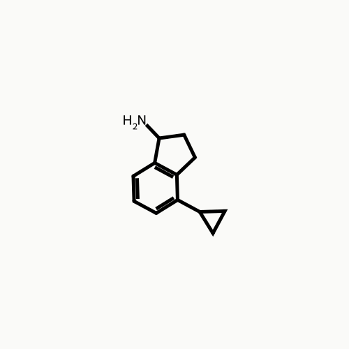 NC1CCc2c1cccc2C1CC1